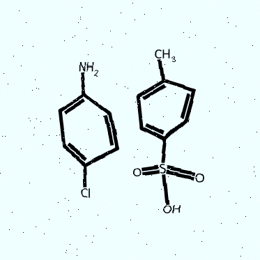 Cc1ccc(S(=O)(=O)O)cc1.Nc1ccc(Cl)cc1